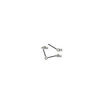 CCCCOCCCC.CO